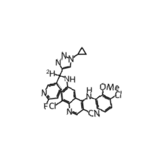 [2H]C(Nc1cc(Cl)c2ncc(C#N)c(Nc3cccc(Cl)c3OC)c2c1)(c1ccc(F)nc1)c1cn(C2CC2)nn1